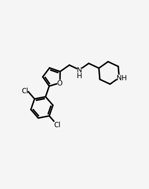 Clc1ccc(Cl)c(-c2ccc(CNCC3CCNCC3)o2)c1